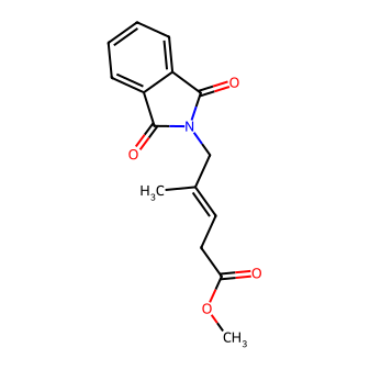 COC(=O)C/C=C(\C)CN1C(=O)c2ccccc2C1=O